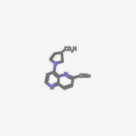 COc1ccc2nccc(N3CC[C@H](C(=O)O)C3)c2n1